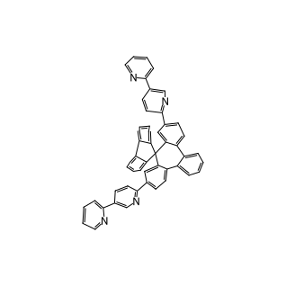 c1ccc(-c2ccc(-c3ccc4c(c3)C3(c5cc(-c6ccc(-c7ccccn7)cn6)ccc5-c5ccccc5-4)c4ccccc4-c4ccccc43)nc2)nc1